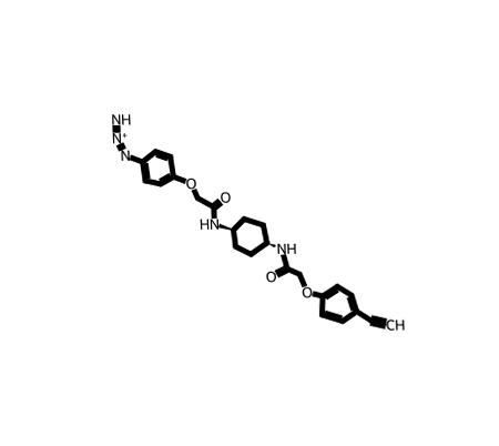 C#Cc1ccc(OCC(=O)N[C@H]2CC[C@H](NC(=O)COc3ccc(N=[N+]=N)cc3)CC2)cc1